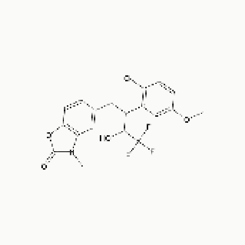 COc1ccc(Cl)c(C(Cc2ccc3oc(=O)n(C)c3c2)C(O)C(F)(F)F)c1